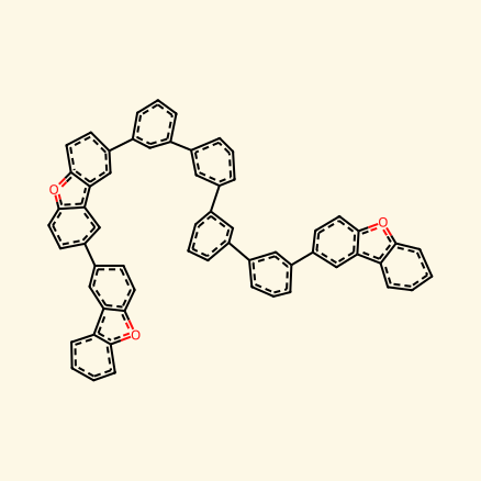 c1cc(-c2cccc(-c3cccc(-c4ccc5oc6ccc(-c7ccc8oc9ccccc9c8c7)cc6c5c4)c3)c2)cc(-c2cccc(-c3ccc4oc5ccccc5c4c3)c2)c1